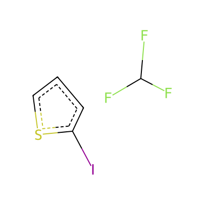 FC(F)F.Ic1cccs1